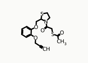 C#CCOc1ccccc1OCC1SCCN1C(=O)CSC(C)=O